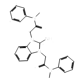 CN(C(=O)CN1c2ccccc2N(CC(=O)N(C)c2ccccc2)C1N)c1ccccc1